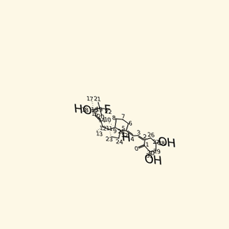 C=C1/C(=C\C=C2/CCC[C@]3(C)[C@@H]([C@H](C)/C=C/[C@@](C)(O)C(C)(C)F)CC[C@@H]23)C[C@@H](O)C[C@@H]1O